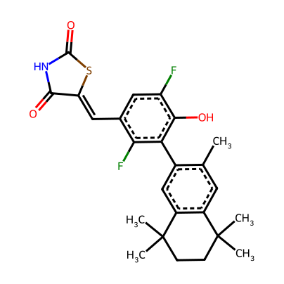 Cc1cc2c(cc1-c1c(O)c(F)cc(/C=C3\SC(=O)NC3=O)c1F)C(C)(C)CCC2(C)C